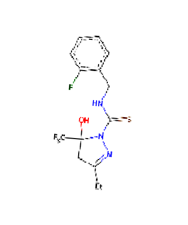 CCC1=NN(C(=S)NCc2ccccc2F)C(O)(C(F)(F)F)C1